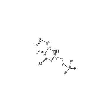 O=c1cc(CCC(F)(F)F)[nH]c2ccccc12